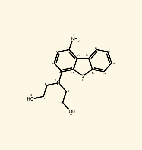 Nc1ccc(N(CCO)CCO)c2sc3ccccc3c12